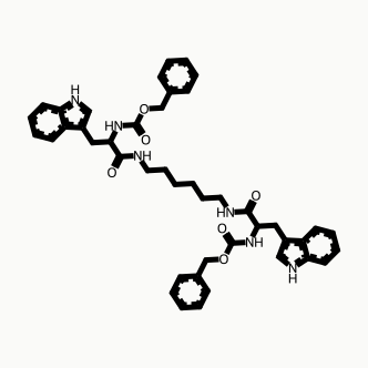 O=C(NC(Cc1c[nH]c2ccccc12)C(=O)NCCCCCCNC(=O)C(Cc1c[nH]c2ccccc12)NC(=O)OCc1ccccc1)OCc1ccccc1